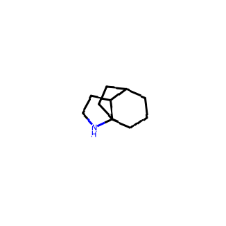 C1CC2CCC3(C1)NCCC23